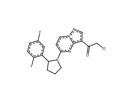 O=C(CCl)c1cnn2ccc(N3CCCC3c3cc(F)ccc3F)nc12